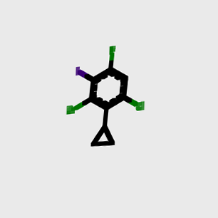 Fc1cc(Cl)c(C2CC2)c(Br)c1I